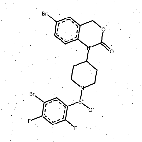 O=C1OCc2cc(Br)ccc2N1C1CCN([S+]([O-])c2cc(Br)c(F)cc2F)CC1